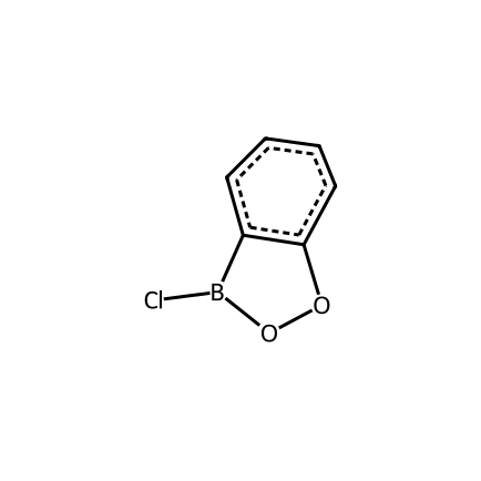 ClB1OOc2ccccc21